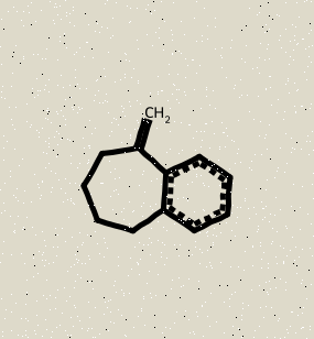 C=C1CCCCc2ccccc21